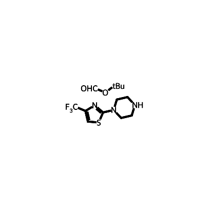 CC(C)(C)OC=O.FC(F)(F)c1csc(N2CCNCC2)n1